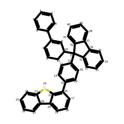 C1=CC(c2ccccc2)=CC(C2(c3ccc(-c4cccc5c4sc4ccccc45)cc3)c3ccccc3-c3ccccc32)C1